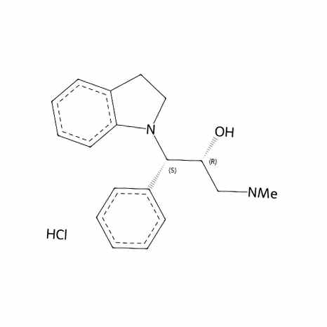 CNC[C@@H](O)[C@H](c1ccccc1)N1CCc2ccccc21.Cl